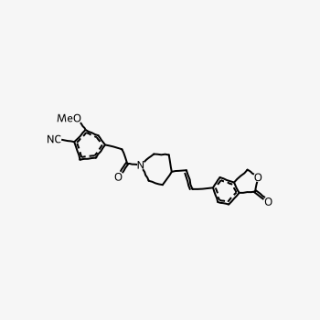 COc1cc(CC(=O)N2CCC(C=Cc3ccc4c(c3)COC4=O)CC2)ccc1C#N